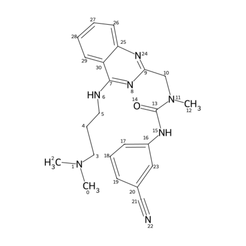 CN(C)CCCNc1nc(CN(C)C(=O)Nc2cccc(C#N)c2)nc2ccccc12